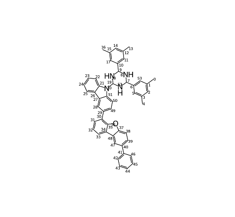 Cc1cc(C)cc(C2NC(c3cc(C)cc(C)c3)NC(n3c4ccccc4c4cc(-c5cccc6c5oc5ccc(-c7ccccc7)cc56)ccc43)N2)c1